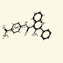 Cc1c(-c2ccccc2)nc2ccccc2c1C(=O)NC12CCC(C(N)=O)(CC1)CC2